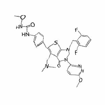 CONC(=O)Nc1ccc(-c2sc3c(c2CN(C)C)C(=O)N(c2ccc(OC)nn2)CN3Cc2c(F)cccc2F)cc1